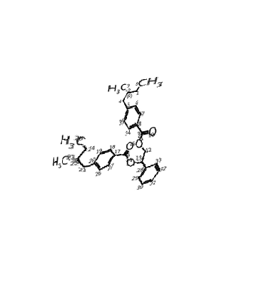 CC[C@@H](C)Cc1ccc(C(=O)OCC(OC(=O)c2ccc(C[C@H](C)CC)cc2)c2ccccc2)cc1